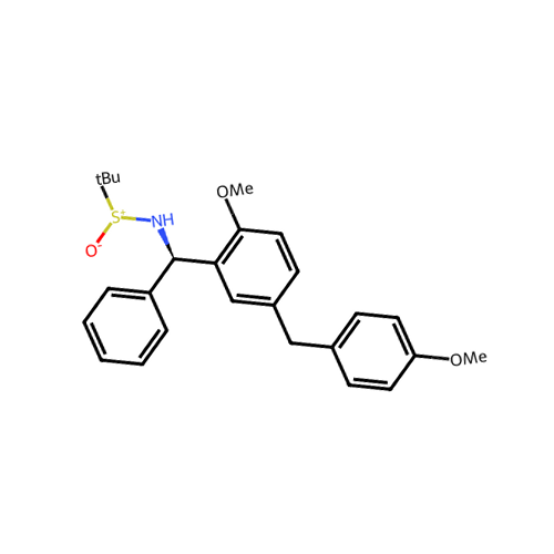 COc1ccc(Cc2ccc(OC)c([C@H](N[S+]([O-])C(C)(C)C)c3ccccc3)c2)cc1